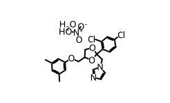 Cc1cc(C)cc(OCC2COC(Cn3ccnc3)(c3ccc(Cl)cc3Cl)O2)c1.O.O=[N+]([O-])O